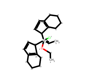 C[CH]=[Zr]([Cl])([O]CC)([CH]1C=CC2=C1CCCC2)[CH]1C=CC2=C1CCCC2